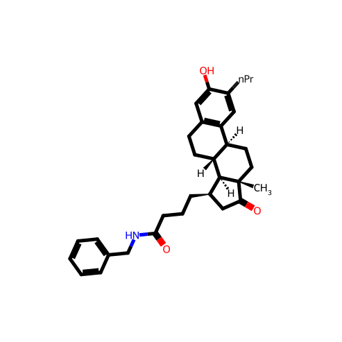 CCCc1cc2c(cc1O)CC[C@H]1[C@@H]3[C@H](CCCC(=O)NCc4ccccc4)CC(=O)[C@@]3(C)CC[C@H]21